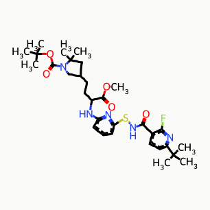 COC(=O)C(CCC1CN(C(=O)OC(C)(C)C)C(C)(C)C1)Nc1cccc(SNC(=O)c2ccc(C(C)(C)C)nc2F)n1